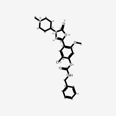 COc1cc(OC(=O)NCc2ccccc2)c(Cl)cc1-c1nn(C2CCN(C)CC2)c(=O)o1